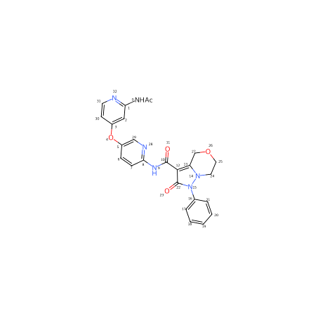 CC(=O)Nc1cc(Oc2ccc(NC(=O)c3c4n(n(-c5ccccc5)c3=O)CCOC4)nc2)ccn1